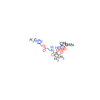 COC(=O)[C@H](C)NP1(=O)OCC(C)(C)[C@H](C(=O)NCCC(=O)OCc2cn(C)cn2)O1